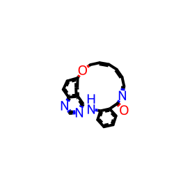 O=C1\N=C/C=C\C=C/COc2ccc3ncnc(c3c2)Nc2ccccc21